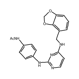 CC(=O)Nc1ccc(Nc2nccc(NCc3cccc4c3OCO4)n2)cc1